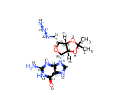 CC1(C)O[C@@H]2[C@H](O1)[C@H](n1cnc3c(=O)[nH]c(N)nc31)O[C@@H]2CN=[N+]=[N-]